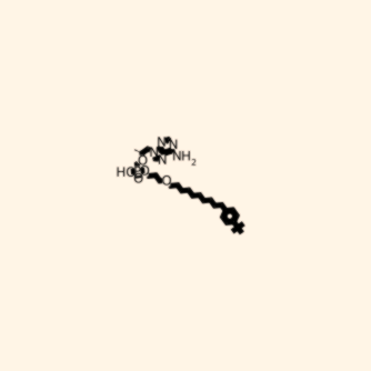 C[C@H](Cn1cnc2c(N)ncnc21)OCP(=O)(O)OCCCOCCCCCCCCCCc1ccc(C(C)(C)C)cc1